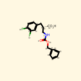 O=C(NC[C@H](Cc1ccc(F)c(F)c1)C(=O)O)OCc1ccccc1